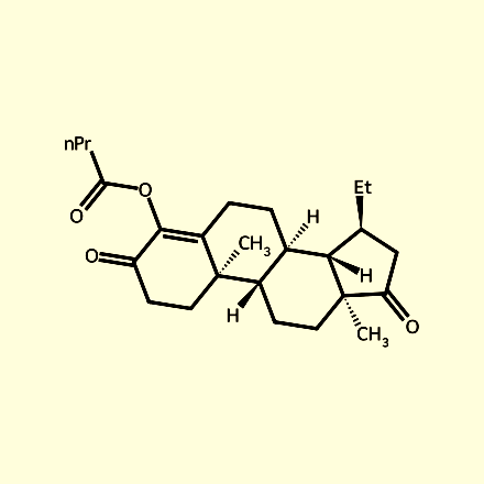 CCCC(=O)OC1=C2CC[C@H]3[C@@H]4[C@@H](CC)CC(=O)[C@@]4(C)CC[C@@H]3[C@@]2(C)CCC1=O